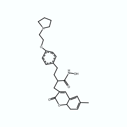 CC1=CCC2OC(=O)C(CC(CCc3ccc(OCCN4CCCC4)cc3)C(=O)NO)=CC2=C1